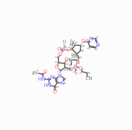 CC(C)C(=O)Nc1nc2c(ncn2[C@@H]2OC3COP(=O)(S)O[C@@H]4C(COP(=S)(OCCC#N)O[C@@H]2C3O[Si](C)(C)C(C)(C)C)C[C@@H](Oc2ccncn2)[C@@H]4F)c(=O)[nH]1